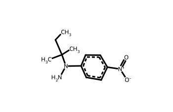 CCC(C)(C)N(N)c1ccc([N+](=O)[O-])cc1